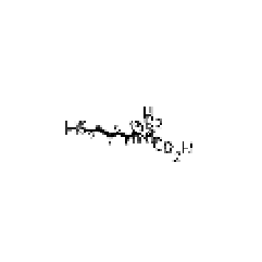 B[C@@H](NC(=O)CC/C=C/CS)C(=O)O